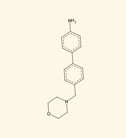 Nc1ccc(-c2ccc(CN3CCOCC3)cc2)cc1